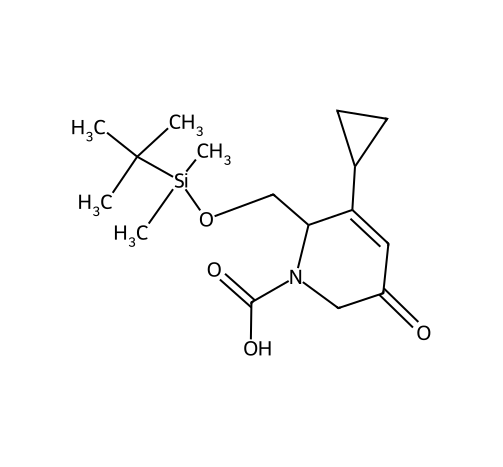 CC(C)(C)[Si](C)(C)OCC1C(C2CC2)=CC(=O)CN1C(=O)O